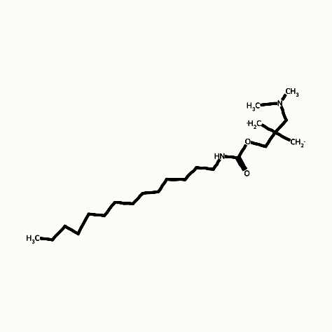 [CH2]C([CH2])(COC(=O)NCCCCCCCCCCCCCC)CN(C)C